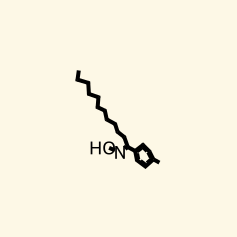 CCCCCCCCCCCC(=NO)c1ccc(C)cc1